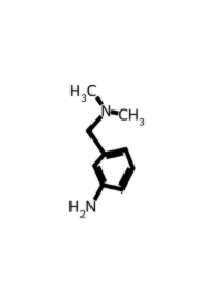 CN(C)Cc1cc[c]c(N)c1